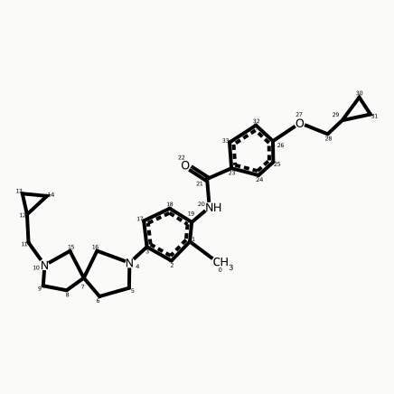 Cc1cc(N2CCC3(CCN(CC4CC4)C3)C2)ccc1NC(=O)c1ccc(OCC2CC2)cc1